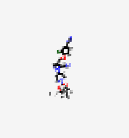 CC(C)(C)OC(=O)N1CCC(n2ncc(COc3ccc(C#N)cc3F)c2C#N)CC1